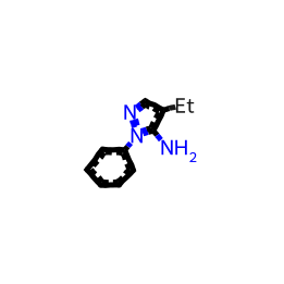 [CH2]Cc1cnn(-c2ccccc2)c1N